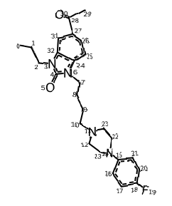 CCCn1c(=O)n(CCCCN2CCN(c3ccc(F)cc3)CC2)c2ccc(C(C)=O)cc21